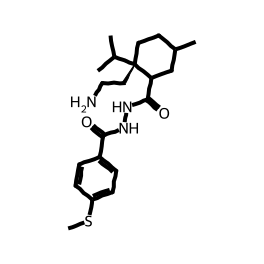 CSc1ccc(C(=O)NNC(=O)C2CC(C)CC[C@@]2(CCN)C(C)C)cc1